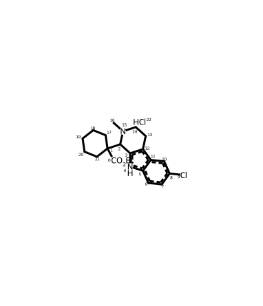 CCOC(=O)C1(C2c3[nH]c4ccc(Cl)cc4c3CCN2C)CCCCC1.Cl